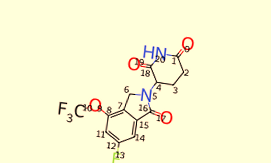 O=C1CCC(N2Cc3c(OC(F)(F)F)cc(F)cc3C2=O)C(=O)N1